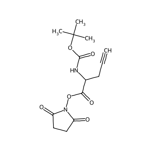 C#CCC(NC(=O)OC(C)(C)C)C(=O)ON1C(=O)CCC1=O